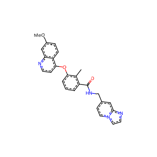 COc1ccc2c(Oc3cccc(C(=O)NCc4ccn5ccnc5c4)c3C)ccnc2c1